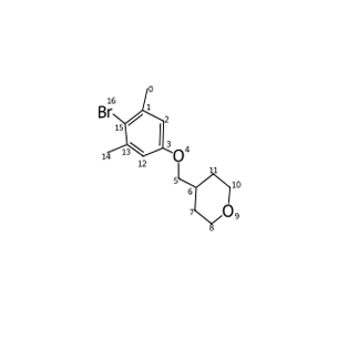 Cc1cc(OCC2CCOCC2)cc(C)c1Br